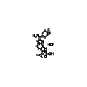 Cl.N[C@H](c1cn2ccc([C@H](NC(=O)O)C3CC3)nc2n1)C1CCC(F)(F)CC1